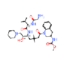 COC(=O)NC1Cc2ccccc2N(C(=O)CC(C)(C)C[C@H](NC(=O)[C@@H](NC(=O)CN)C(C)C)[C@@H](O)CN2CCCCC2)C1